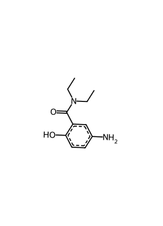 CCN(CC)C(=O)c1cc(N)ccc1O